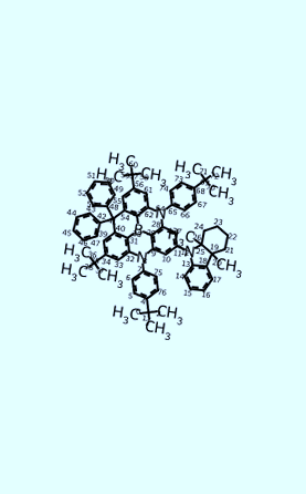 CC(C)(C)c1ccc(N2c3cc(N4c5ccccc5C5(C)CCCCC45C)cc4c3B3c5c2cc(C(C)(C)C)cc5C(c2ccccc2)(c2ccccc2)c2cc(C(C)(C)C)cc(c23)N4c2ccc(C(C)(C)C)cc2)cc1